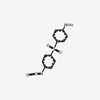 CC(=O)Nc1ccc(S(=O)(=O)c2ccc(N=C=O)cc2)cc1